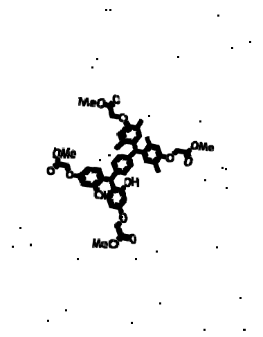 COC(=O)COc1ccc(C(c2ccc(C(c3cc(C)c(OCC(=O)OC)cc3C)c3cc(C)c(OCC(=O)OC)cc3C)cc2)c2ccc(OCC(=O)OC)cc2O)c(O)c1